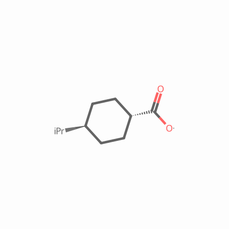 CC(C)[C@H]1CC[C@H](C([O])=O)CC1